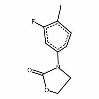 O=C1OCCN1c1ccc(I)c(F)c1